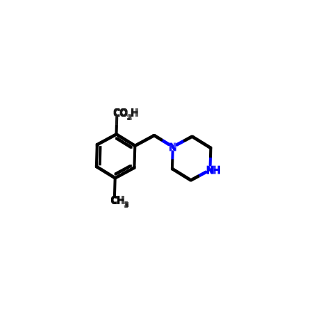 Cc1ccc(C(=O)O)c(CN2CCNCC2)c1